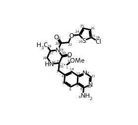 COC[C@]1(Cc2ccc3c(N)ncnc3c2)NCC(C)N(C(=O)COc2ccc(Cl)s2)C1=O